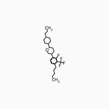 CCCCCc1ccc(C2CCC(C3CCC(CCC)CC3)OC2)c(F)c1C(F)(F)F